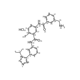 CC(C)n1cnnc1-c1cccc(NC(=O)c2cc(NC(=O)c3cc(CN)ccn3)ccc2F)n1.Cl